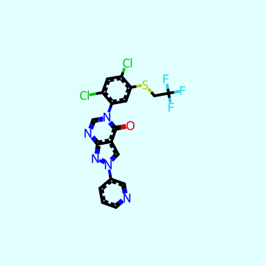 O=c1c2cn(-c3cccnc3)nc2ncn1-c1cc(SCC(F)(F)F)c(Cl)cc1Cl